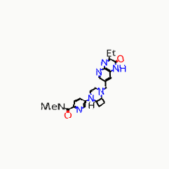 CCc1nc2ncc(CN3CCN(c4ccc(C(=O)NC)nc4)[C@@H]4CCC43)cc2[nH]c1=O